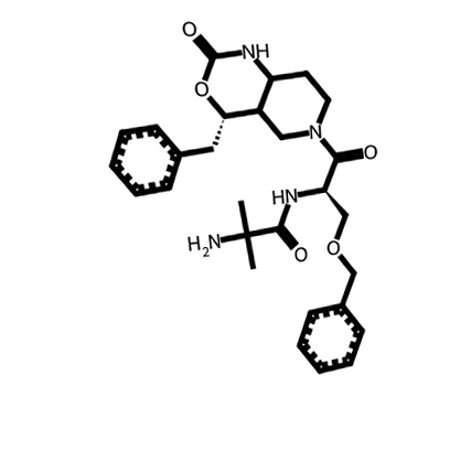 CC(C)(N)C(=O)N[C@H](COCc1ccccc1)C(=O)N1CCC2NC(=O)O[C@@H](Cc3ccccc3)C2C1